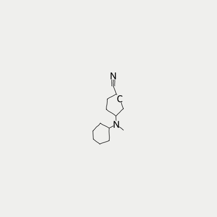 CN(C1CCCCC1)C1CCC(C#N)CC1